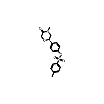 Cc1ccc(S(=O)(=O)Oc2ccc([C@@H]3CN(C)C(=O)CO3)cc2)cc1